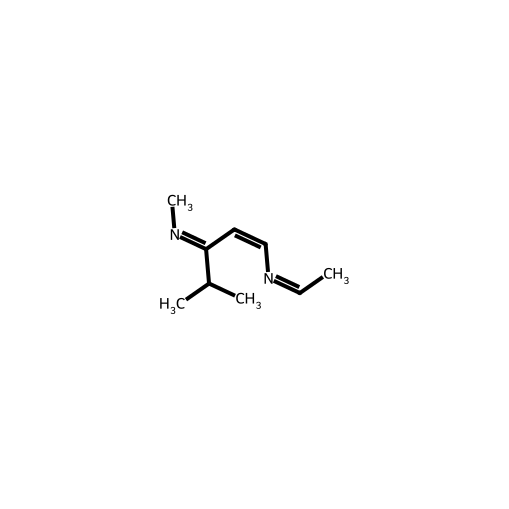 C\C=N/C=C\C(=N/C)C(C)C